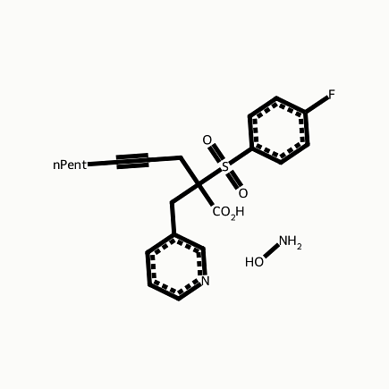 CCCCCC#CCC(Cc1cccnc1)(C(=O)O)S(=O)(=O)c1ccc(F)cc1.NO